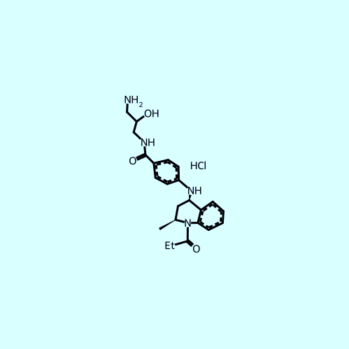 CCC(=O)N1c2ccccc2[C@H](Nc2ccc(C(=O)NCC(O)CN)cc2)C[C@@H]1C.Cl